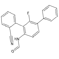 N#Cc1ccccc1-c1c(NC=O)ccc(-c2ccccc2)c1F